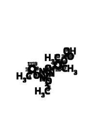 CCCOc1nc(Oc2ccccc2C)nc2oc(-c3cc(C)c(OCC(=O)O)c(C)c3)nc12